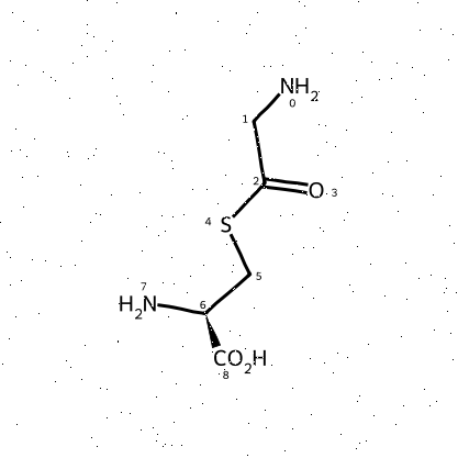 NCC(=O)SC[C@H](N)C(=O)O